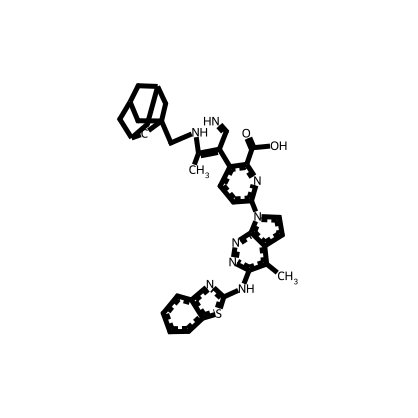 C/C(NCC12CC3CC(CC(C3)C1)C2)=C(/C=N)c1ccc(-n2ccc3c(C)c(Nc4nc5ccccc5s4)nnc32)nc1C(=O)O